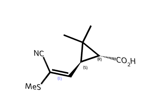 CS/C(C#N)=C/[C@@H]1[C@@H](C(=O)O)C1(C)C